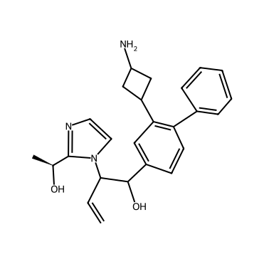 C=CC(C(O)c1ccc(-c2ccccc2)c(C2CC(N)C2)c1)n1ccnc1[C@H](C)O